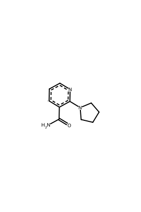 NC(=O)c1[c]ccnc1N1CCCC1